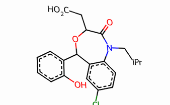 CC(C)CN1C(=O)C(CC(=O)O)OC(c2ccccc2O)c2cc(Cl)ccc21